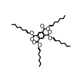 CCCCCC=COC(=O)c1cc(C(=O)OC=CCCCCC)c(C(=O)OC=CCCCCC)cc1C(=O)OC=CCCCCC